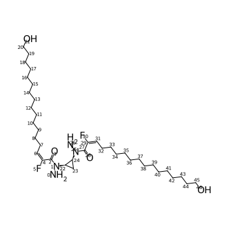 NN(C(=O)/C(F)=C\CCCCCCCCCCCCCCO)[C@@H]1C[C@@H]1N(N)C(=O)/C(F)=C\CCCCCCCCCCCCCCO